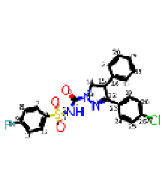 O=C(NS(=O)(=O)c1ccc(F)cc1)N1CC(c2ccccc2)C(c2ccc(Cl)cc2)=N1